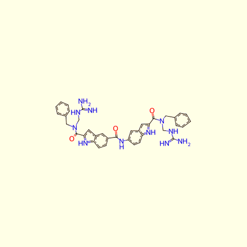 N=C(N)NCN(Cc1ccccc1)C(=O)c1cc2cc(NC(=O)c3ccc4[nH]c(C(=O)N(CNC(=N)N)Cc5ccccc5)cc4c3)ccc2[nH]1